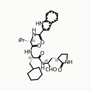 CC(C)[C@H](NC(=O)c1cc2ccccc2[nH]1)C(=O)N[C@@H](CC1CCCCC1)C(=O)N[C@H](C=O)C[C@@H]1CCNC1=O